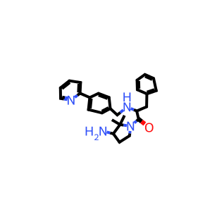 CC1(C)C(N)CCN1C(=O)C(Cc1ccccc1)NCc1ccc(-c2ccccn2)cc1